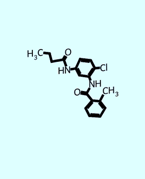 CCCC(=O)Nc1ccc(Cl)c(NC(=O)c2ccccc2C)c1